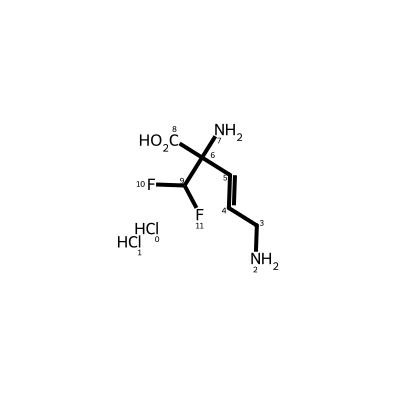 Cl.Cl.NC/C=C/C(N)(C(=O)O)C(F)F